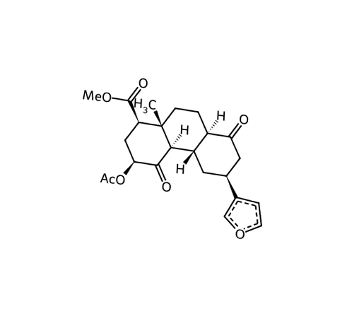 COC(=O)[C@@H]1C[C@H](OC(C)=O)C(=O)[C@@H]2[C@H]3C[C@H](c4ccoc4)CC(=O)[C@@H]3CC[C@]21C